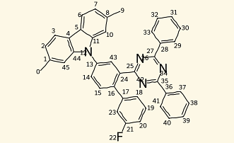 Cc1ccc2c3ccc(C)cc3n(-c3ccc(-c4cccc(F)c4)c(-c4nc(-c5ccccc5)nc(-c5ccccc5)n4)c3)c2c1